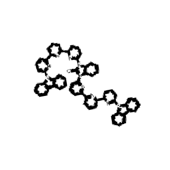 O=c1n(-c2cccc(-c3cccc(-c4cccc(-n5c6ccccc6c6ccccc65)n4)n3)n2)c2ccccc2n1-c1cccc(-c2cccc(-c3cccc(-n4c5ccccc5c5ccccc54)n3)n2)n1